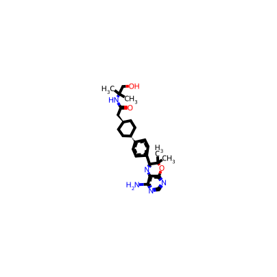 CC(C)(CO)NC(=O)C[C@H]1CC[C@H](c2ccc(C3=Nc4c(N)ncnc4OC3(C)C)cc2)CC1